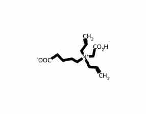 C=CC[N+](CC=C)(CCCCC(=O)[O-])CC(=O)O